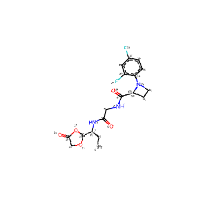 CC(C)C[C@H](NC(=O)CNC(=O)[C@@H]1CCN1c1ccc(F)cc1F)B1OCC(=O)O1